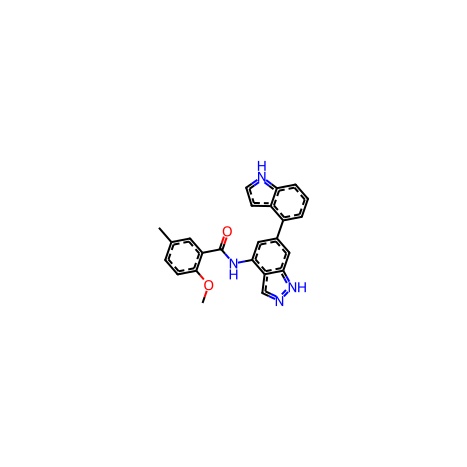 COc1ccc(C)cc1C(=O)Nc1cc(-c2cccc3[nH]ccc23)cc2[nH]ncc12